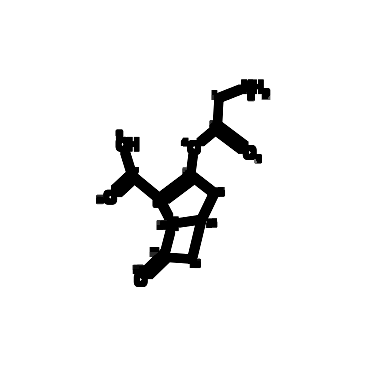 NCC(=O)OC1=C(C(=O)O)N2C(=O)CC2C1